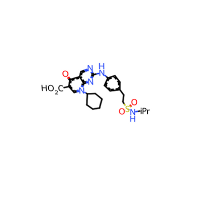 CC(C)NS(=O)(=O)CCc1ccc(Nc2ncc3c(=O)c(C(=O)O)cn(C4CCCCC4)c3n2)cc1